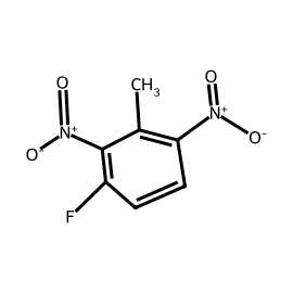 Cc1c([N+](=O)[O-])ccc(F)c1[N+](=O)[O-]